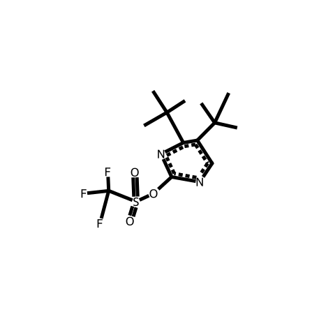 CC(C)(C)c1cnc(OS(=O)(=O)C(F)(F)F)nc1C(C)(C)C